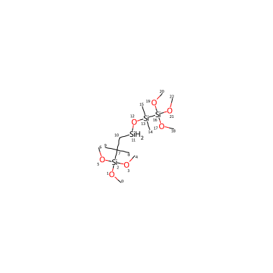 CO[Si](OC)(OC)C(C)(C)C[SiH2]O[Si](C)(C)[Si](OC)(OC)OC